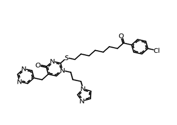 O=C(CCCCCCCSc1nc(=O)c(Cc2cncnc2)cn1CCCn1ccnc1)c1ccc(Cl)cc1